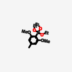 CCO[Si](OCC)(OCC)c1c(OC)cc(C)cc1OC